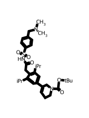 CC(C)c1cc(C2=CCCN(C(=O)OC(C)(C)C)C2)cc(C(C)C)c1CC(=O)NS(=O)(=O)c1ccc(CN(C)C)cc1